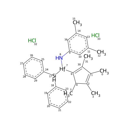 CC1=C(C)C(C)[C]([Hf]([NH]c2cc(C)cc(C)c2)[SiH](c2ccccc2)c2ccccc2)=C1C.Cl.Cl